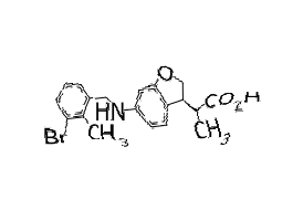 Cc1c(Br)cccc1CNc1ccc2c(c1)OC[C@H]2C(C)C(=O)O